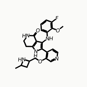 COc1c(F)cccc1Nc1c(-c2ccncc2OCC2CC(C)N2)[nH]c2c1C(=O)NCC2